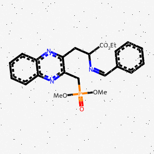 CCOC(=O)C(Cc1nc2ccccc2nc1CP(=O)(OC)OC)N=Cc1ccccc1